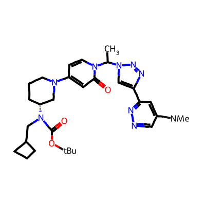 CNc1cnnc(-c2cn(C(C)n3ccc(N4CCC[C@@H](N(CC5CCC5)C(=O)OC(C)(C)C)C4)cc3=O)nn2)c1